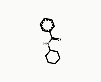 O=C(NC1CCCCC1)c1cc[c]cc1